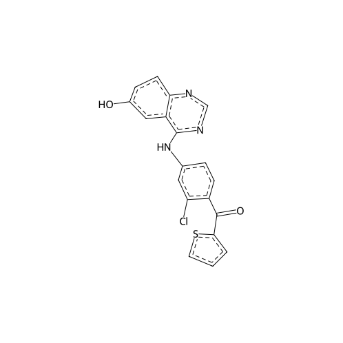 O=C(c1cccs1)c1ccc(Nc2ncnc3ccc(O)cc23)cc1Cl